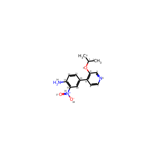 CC(C)Oc1cnccc1-c1ccc(N)c([N+](=O)[O-])c1